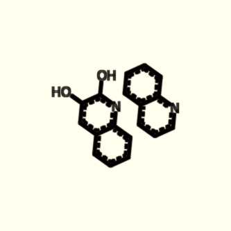 Oc1cc2ccccc2nc1O.c1ccc2ncccc2c1